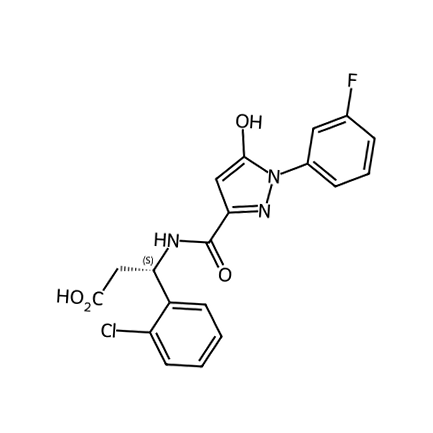 O=C(O)C[C@H](NC(=O)c1cc(O)n(-c2cccc(F)c2)n1)c1ccccc1Cl